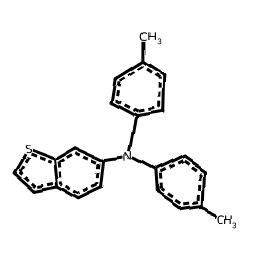 Cc1ccc(N(c2ccc(C)cc2)c2ccc3ccsc3c2)cc1